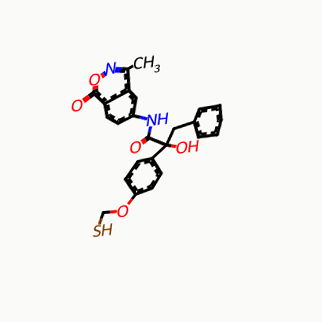 Cc1noc(=O)c2ccc(NC(=O)C(O)(Cc3ccccc3)c3ccc(OCS)cc3)cc12